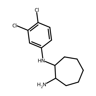 NC1CCCCCC1Nc1ccc(Cl)c(Cl)c1